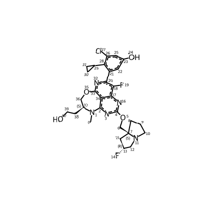 CN1c2nc(OC[C@@]34CCCN3C[C@H](F)C4)nc3c(F)c(-c4cc(O)cc(Cl)c4C4CC4)nc(c23)OC[C@@H]1CCO